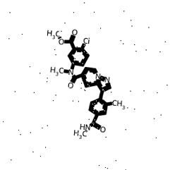 CNC(=O)c1ccc(-c2cnn3ccc(C(=O)N(C)c4ccc(Cl)c(C(=O)OC)c4)cc23)c(C)c1